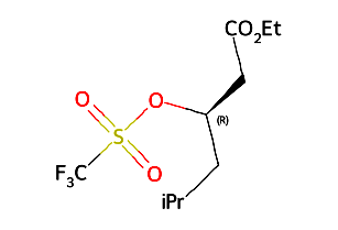 CCOC(=O)C[C@@H](CC(C)C)OS(=O)(=O)C(F)(F)F